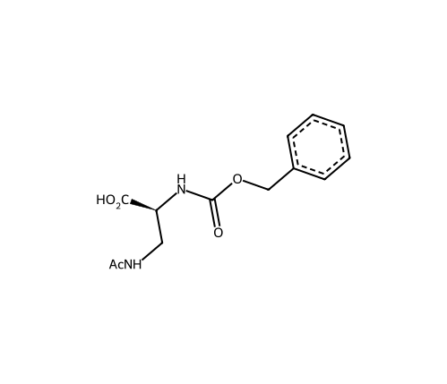 CC(=O)NC[C@H](NC(=O)OCc1ccccc1)C(=O)O